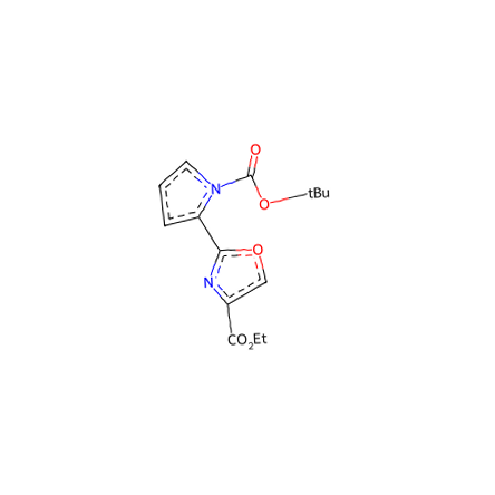 CCOC(=O)c1coc(-c2cccn2C(=O)OC(C)(C)C)n1